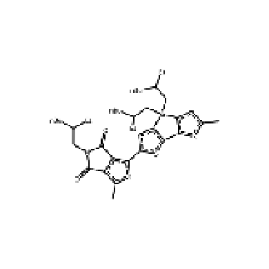 CCCCC(CC)CN1C(=O)c2c(C)sc(-c3cc4c(s3)-c3sc(C)cc3[Si]4(CC(CC)CCCC)CC(CC)CCCC)c2C1=O